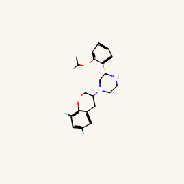 CC(C)Oc1ccccc1[C@@H]1CN(C2COc3c(F)cc(F)cc3C2)CCN1